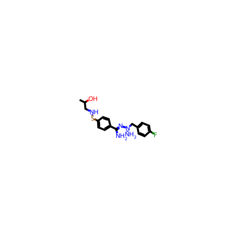 CC(O)CNSc1ccc(/C(N)=N/N(N)Cc2ccc(F)cc2)cc1